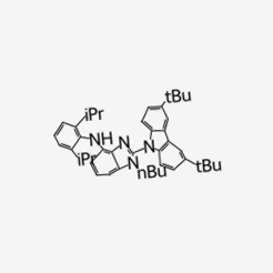 CCCCn1c(-n2c3ccc(C(C)(C)C)cc3c3cc(C(C)(C)C)ccc32)nc2c(Nc3c(C(C)C)cccc3C(C)C)cccc21